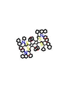 c1ccc(C2=C(c3cc(-c4ccccc4)c(C(c4ccccc4)c4cccc5ccccc45)s3)C(c3cc(-c4ccccc4)c(N(c4ccccc4)c4cccc5ccccc45)s3)=C(c3ccccc3)C2=C2C(c3ccccc3)=C(c3cc(-c4ccccc4)c(N(c4ccccc4)c4cccc5ccccc45)s3)C(c3cc(-c4ccccc4)c(N(c4ccccc4)c4cccc5ccccc45)s3)=C2c2ccccc2)cc1